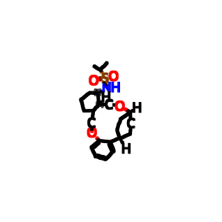 CC(C)S(=O)(=O)N[C@H]1CCCC2COc3ccccc3[C@H]3CC[C@H](CC3)OC[C@H]21